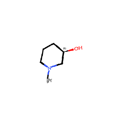 CC(C)N1CCC[C@@H](O)C1